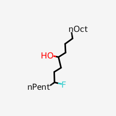 CCCCCCCCCCCC(O)CCC(F)CCCCC